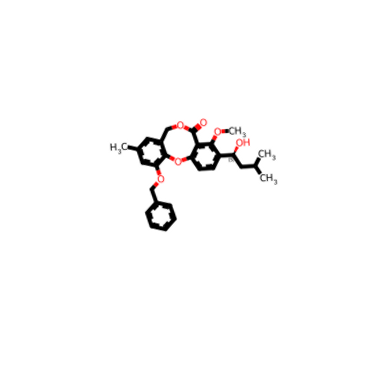 COc1c([C@@H](O)CC(C)C)ccc2c1C(=O)OCc1cc(C)cc(OCc3ccccc3)c1O2